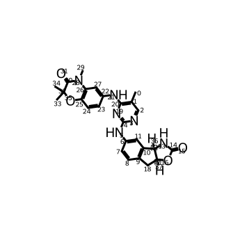 Cc1cnc(Nc2ccc3c(c2)[C@@H]2NC(=O)O[C@@H]2C3)nc1Nc1ccc2c(c1)N(C)C(=O)C(C)(C)O2